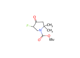 CC(C)(C)OC(=O)N1CC(F)C(=O)CC1(C)C